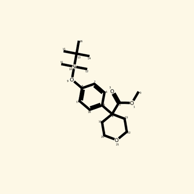 COC(=O)C1(c2ccc(O[Si](C)(C)C(C)(C)C)cc2)CCOCC1